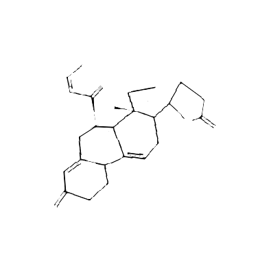 CC(=O)O/C=C\C(=O)[C@@H]1CC2=CC(=O)CC[C@]2(C)C2=CC[C@@]3(C)[C@@H](CC[C@@]34CCC(=O)O4)[C@@H]21